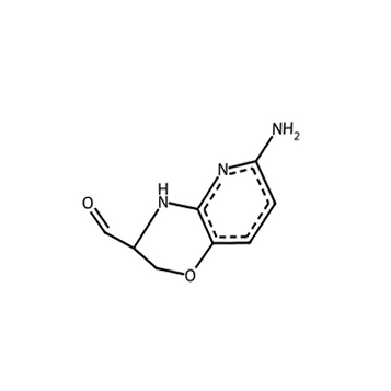 Nc1ccc2c(n1)NC(C=O)CO2